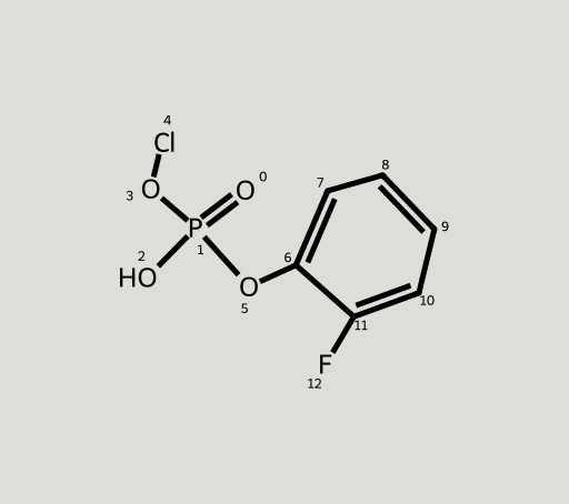 O=P(O)(OCl)Oc1ccccc1F